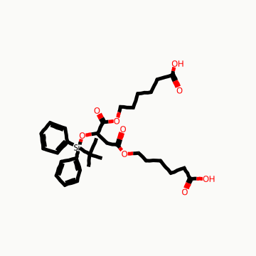 CC(C)(C)[Si](OC(CC(=O)OCCCCCC(=O)O)C(=O)OCCCCCC(=O)O)(c1ccccc1)c1ccccc1